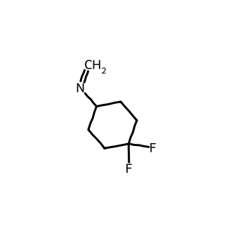 C=NC1CCC(F)(F)CC1